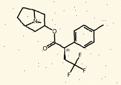 Cc1ccc([C@@H](CC(F)(F)F)C(=O)OC2CC3CCC(C2)N3C)cc1